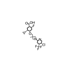 CC1(COc2cc(F)c(C(=O)O)cc2C2CC2)CN(c2cc(C(F)(F)F)c(Cl)cn2)C1